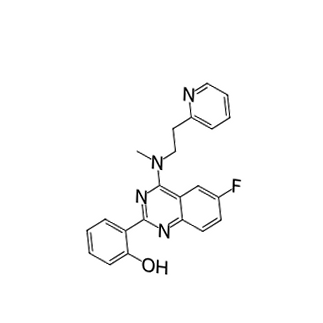 CN(CCc1ccccn1)c1nc(-c2ccccc2O)nc2ccc(F)cc12